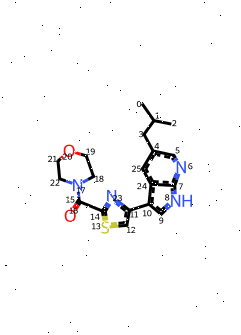 CC(C)Cc1cnc2[nH]cc(-c3csc(C(=O)N4CCOCC4)n3)c2c1